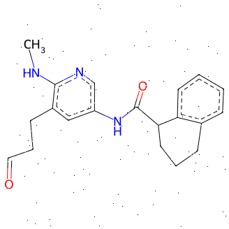 CNc1ncc(NC(=O)C2CCCc3ccccc32)cc1CCC=O